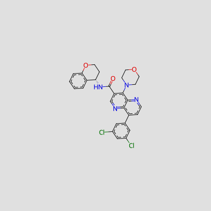 O=C(N[C@H]1CCOc2ccccc21)c1cnc2c(-c3cc(Cl)cc(Cl)c3)ccnc2c1N1CCOCC1